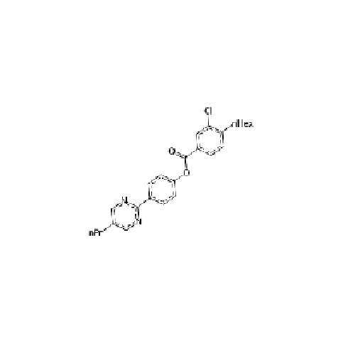 CCCCCCc1ccc(C(=O)Oc2ccc(-c3ncc(CCC)cn3)cc2)cc1Cl